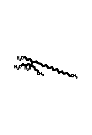 CCCCCCCCCCCCCCCC(CCCC)C(N)(CCCC)CCCC